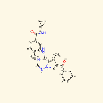 CC1=C2C(Nc3cc(C(=O)NC4CC4)ccc3C)=NC=NN2CC1C(=O)c1ccccc1